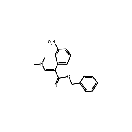 CN(C)/C=C(/C(=O)OCc1ccccc1)c1cccc([N+](=O)[O-])c1